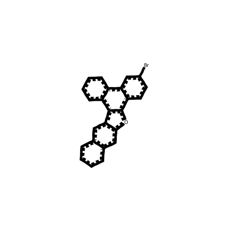 Brc1ccc2c(c1)c1ccccc1c1c3cc4ccccc4cc3oc21